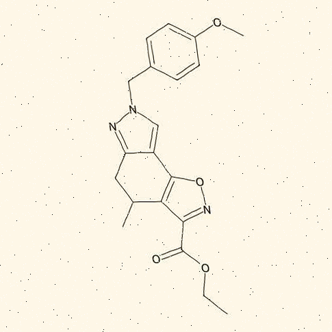 CCOC(=O)c1noc2c1C(C)Cc1nn(Cc3ccc(OC)cc3)cc1-2